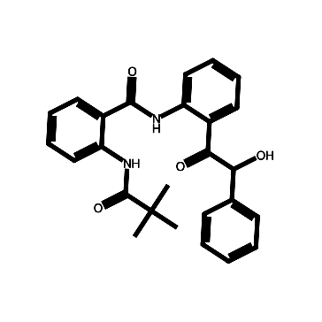 CC(C)(C)C(=O)Nc1ccccc1C(=O)Nc1ccccc1C(=O)C(O)c1ccccc1